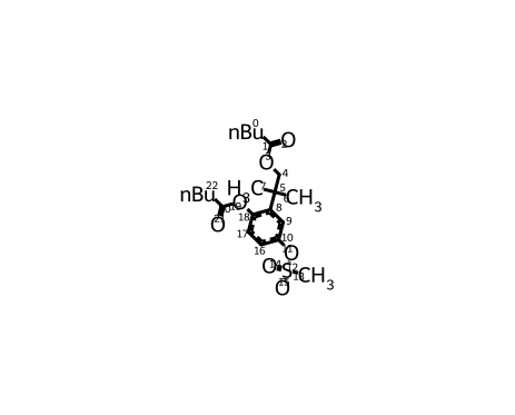 CCCCC(=O)OCC(C)(C)c1cc(OS(C)(=O)=O)ccc1OC(=O)CCCC